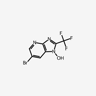 On1c(C(F)(F)F)nc2ncc(Br)cc21